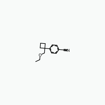 CCOCC1(c2ccc(C#N)cc2)CCC1